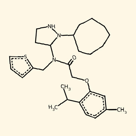 Cc1ccc(C(C)C)c(OCC(=O)N(Cc2cccs2)C2CCNN2C2CCCCCCC2)c1